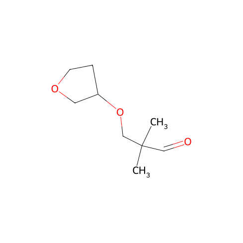 CC(C)(C=O)COC1CCOC1